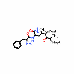 CCCCCCCC(C)C(=O)C(CCCCC)C(C)CC(NC(=O)[C@H](N)Cc1ccccc1)C(N)=O